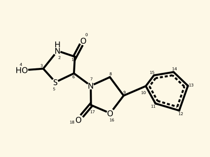 O=C1NC(O)SC1N1CC(c2ccccc2)OC1=O